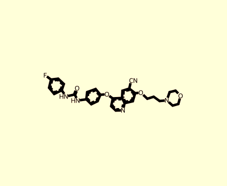 N#Cc1cc2c(Oc3ccc(NC(=O)Nc4ccc(F)cc4)cc3)ccnc2cc1OCCCN1CCOCC1